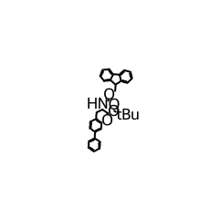 CC(C)(C)OC(=O)C(Cc1ccc(-c2ccccc2)cc1)NC(=O)OCC1c2ccccc2-c2ccccc21